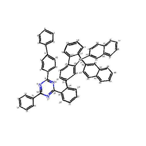 c1ccc(-c2ccc(-c3nc(-c4ccccc4)nc(-c4ccccc4-c4ccc5c(c4)[Si](c4ccc6ccccc6c4)(c4ccc6ccccc6c4)c4ccccc4-5)n3)cc2)cc1